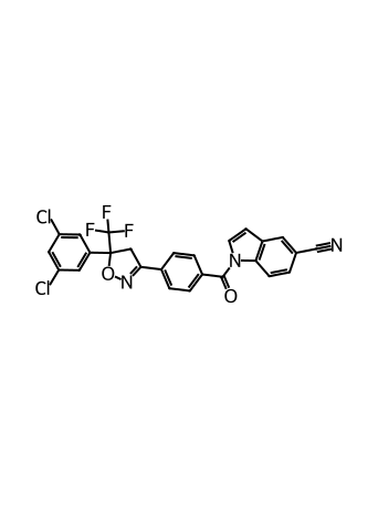 N#Cc1ccc2c(ccn2C(=O)c2ccc(C3=NOC(c4cc(Cl)cc(Cl)c4)(C(F)(F)F)C3)cc2)c1